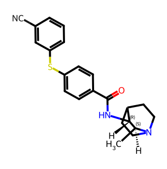 C[C@H]1[C@H](NC(=O)c2ccc(Sc3cccc(C#N)c3)cc2)C2CCN1CC2